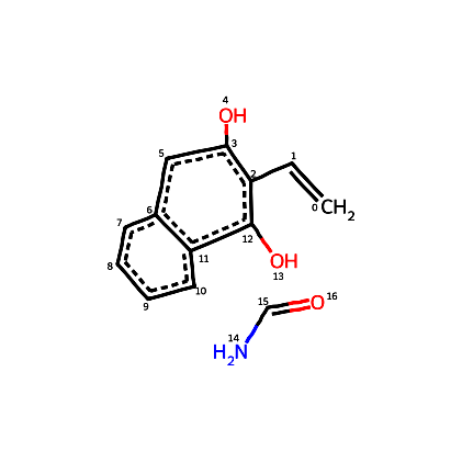 C=Cc1c(O)cc2ccccc2c1O.NC=O